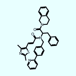 Cc1nc(C)c(C=CC(=O)N(Cc2ccc(-c3ccccn3)cc2)C(Cc2ccccc2)C(=O)N2CCc3ccccc3C2)s1